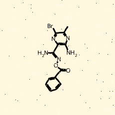 Cc1nc(N)c(/C(N)=N/OC(=O)c2ccccc2)nc1Br